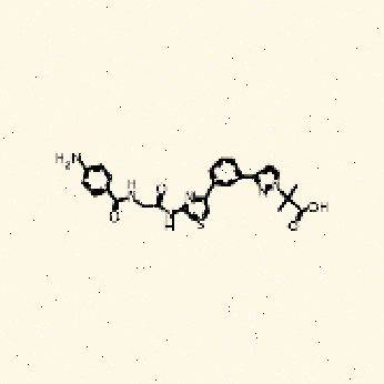 CC(C)(C(=O)O)n1ccc(-c2cccc(-c3csc(NC(=O)CNC(=O)c4ccc(N)cc4)n3)c2)n1